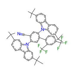 CC(C)(C)c1ccc2c3ccc(C(C)(C)C)cc3n(-c3cc(-c4ccc(C(F)(F)F)cc4C(F)(F)F)c(-n4c5cc(C(C)(C)C)ccc5c5ccc(C(C)(C)C)cc54)cc3C#N)c2c1